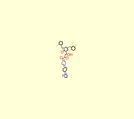 O=C(C=C(O)c1cc(Cc2c(F)ccc(F)c2F)cn(Cc2ccccc2F)c1=O)C(=O)N1CCN(c2ccc(-n3cccn3)cc2)CC1